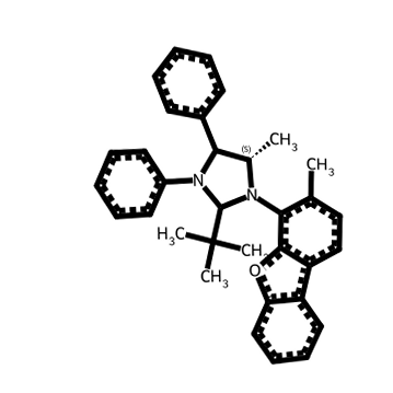 Cc1ccc2c(oc3ccccc32)c1N1C(C(C)(C)C)N(c2ccccc2)C(c2ccccc2)[C@@H]1C